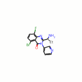 CC[C@H](N)c1nc2c(F)ccc(Br)c2c(=O)n1-c1cccnc1